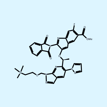 COC(=O)c1cc2cc(O[C@@H](C)c3nc4c(cnn4COCC[Si](C)(C)C)cc3-n3cccn3)c(N3C(=O)c4ccccc4C3=O)nc2cc1F